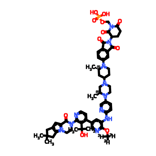 [2H]C([2H])([2H])Oc1ncc(-c2ccnc(N3CCn4c(cc5c4CC(C)(C)C5)C3=O)c2C(C)(C)O)cc1Nc1ccc(N2CCN(C3CCN(c4ccc5c(c4)C(=O)N(C4CCC(=O)N(COP(=O)(O)O)C4=O)C5=O)[C@@H](C)C3)C[C@@H]2C)cn1